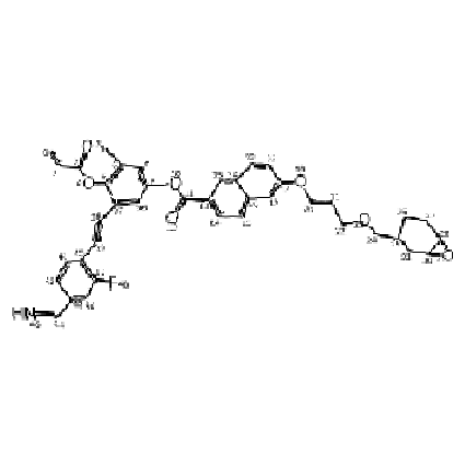 C=CC(=O)Oc1c(C)cc(OC(=O)c2ccc3cc(OCCCOCC4CCC5OC5C4)ccc3c2)cc1C#Cc1ccc(C=N)cc1F